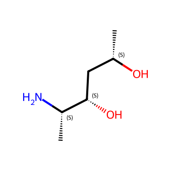 C[C@H](O)C[C@H](O)[C@H](C)N